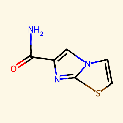 NC(=O)c1cn2ccsc2n1